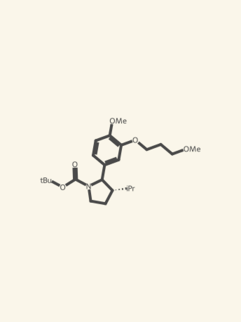 COCCCOc1cc(C2[C@H](C(C)C)CCN2C(=O)OC(C)(C)C)ccc1OC